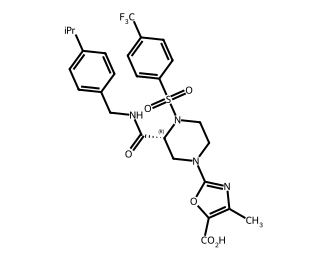 Cc1nc(N2CCN(S(=O)(=O)c3ccc(C(F)(F)F)cc3)[C@@H](C(=O)NCc3ccc(C(C)C)cc3)C2)oc1C(=O)O